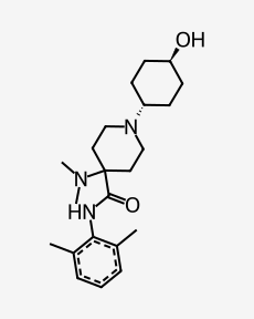 Cc1cccc(C)c1NC(=O)C1(N(C)C)CCN([C@H]2CC[C@H](O)CC2)CC1